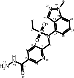 CCS(=O)(=O)N(Cc1ccc(C(=O)NN)cn1)c1cccc2c1cnn2C